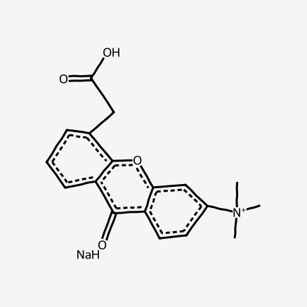 C[N+](C)(C)c1ccc2c(=O)c3cccc(CC(=O)O)c3oc2c1.[NaH]